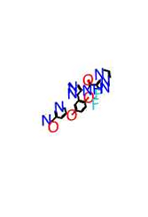 CN(C)C(=O)c1cncc(Oc2ccc(OC(F)F)c(-c3nn(C)cc3NC(=O)c3cnn4cccnc34)c2)c1